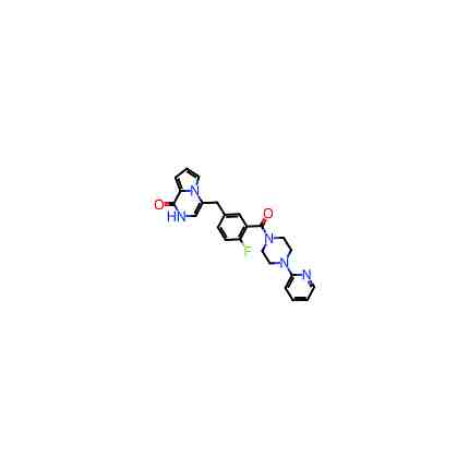 O=C(c1cc(Cc2c[nH]c(=O)c3cccn23)ccc1F)N1CCN(c2ccccn2)CC1